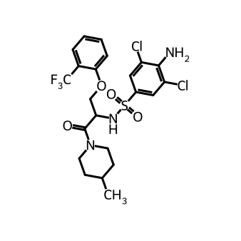 CC1CCN(C(=O)C(COc2ccccc2C(F)(F)F)NS(=O)(=O)c2cc(Cl)c(N)c(Cl)c2)CC1